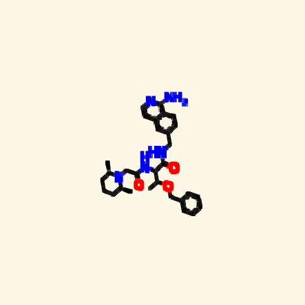 CC(OCc1ccccc1)C(NC(=O)CN1[C@H](C)CCC[C@@H]1C)C(=O)NCc1ccc2c(N)nccc2c1